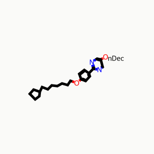 CCCCCCCCCCOc1cnc(-c2ccc(OCCCCCCCC3CCCC3)cc2)nc1